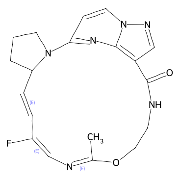 C\C1=N/C=C(F)\C=C\C2CCCN2c2ccn3ncc(c3n2)C(=O)NCCO1